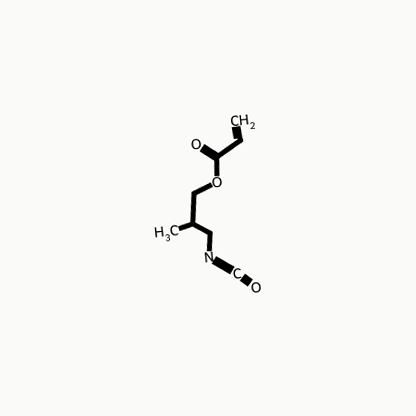 C=CC(=O)OCC(C)CN=C=O